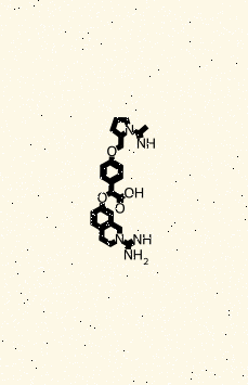 CC(=N)N1CCCC1COc1ccc(C(Oc2ccc3c(c2)CN(C(=N)N)CC3)C(=O)O)cc1